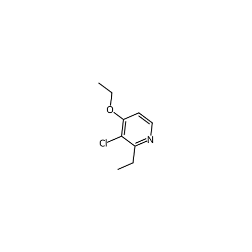 CCOc1ccnc(CC)c1Cl